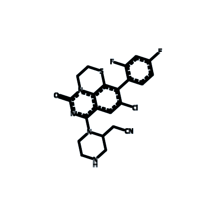 N#CCC1CNCCN1c1nc(=O)n2c3c(c(-c4ccc(F)cc4F)c(Cl)cc13)SCC2